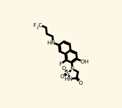 O=C1CN(c2c(O)cc3ccc(NCCCC(F)(F)F)cc3c2F)S(=O)(=O)N1